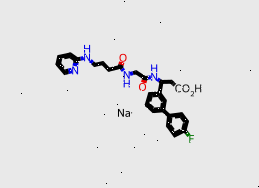 O=C(O)CC(NC(=O)CNC(=O)CCCNc1ccccn1)c1cccc(-c2ccc(F)cc2)c1.[Na]